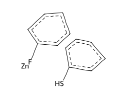 Fc1ccccc1.Sc1ccccc1.[Zn]